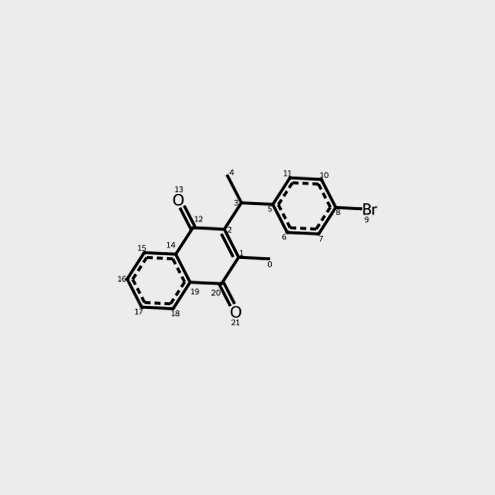 CC1=C(C(C)c2ccc(Br)cc2)C(=O)c2ccccc2C1=O